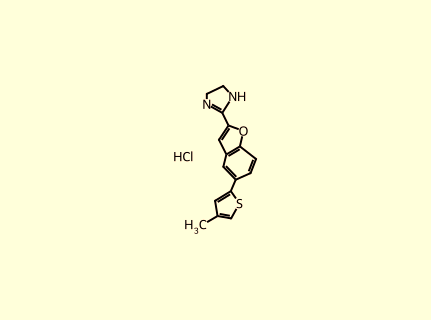 Cc1csc(-c2ccc3oc(C4=NCCN4)cc3c2)c1.Cl